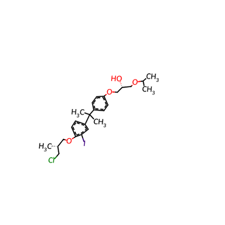 CC(C)OC[C@@H](O)COc1ccc(C(C)(C)c2ccc(OC[C@@H](C)CCl)c(I)c2)cc1